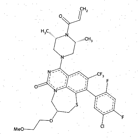 C=CC(=O)N1[C@H](C)CN(c2nc(=O)n3c4c(c(-c5cc(Cl)c(F)cc5F)c(C(F)(F)F)cc24)SCC(OCCOC)C3)C[C@@H]1C